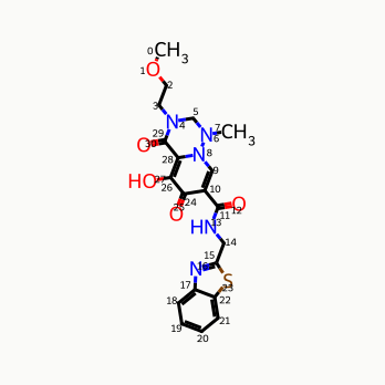 COCCN1CN(C)n2cc(C(=O)NCc3nc4ccccc4s3)c(=O)c(O)c2C1=O